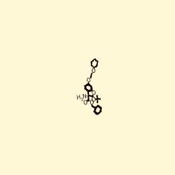 CC(C)(C)OC(=O)[C@@](N)(C(=O)OCc1ccccc1)c1ccc(OCCOC2CCCCC2)cc1